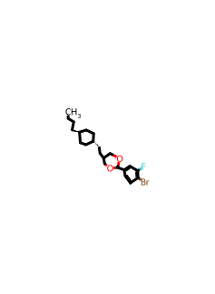 CCCC[C@H]1CC[C@H](CCC2COC(c3ccc(Br)c(F)c3)OC2)CC1